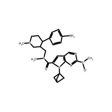 CN1CCC(c2ccc(N)cc2)C(CN(C)C(=O)c2cc3cnc([S+](C)[O-])nc3n2C23CC(C2)C3)C1